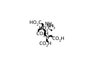 CC(=O)O.N.N.O=C(O)CN(CCN(CC(=O)O)CC(=O)O)CC(=O)O